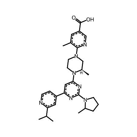 Cc1cc(C(=O)O)cnc1N1CCN(c2cc(-c3ccnc(C(C)C)c3)nc(N3CCCC3C)n2)[C@H](C)C1